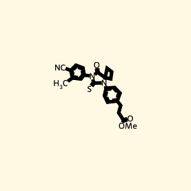 COC(=O)CCc1ccc(N2C(=S)N(c3ccc(C#N)c(C)c3)C(=O)C23CCC3)cc1